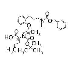 CCC[C@@H](C(=O)O)N(C[C@@H](C)Oc1ccccc1CCCNC(=O)OCc1ccccc1)C(=O)OC(C)(C)C